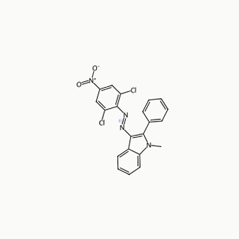 Cn1c(-c2ccccc2)c(/N=N/c2c(Cl)cc([N+](=O)[O-])cc2Cl)c2ccccc21